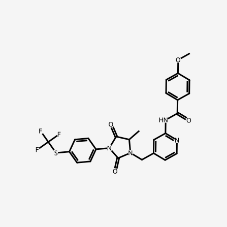 COc1ccc(C(=O)Nc2cc(CN3C(=O)N(c4ccc(SC(F)(F)F)cc4)C(=O)C3C)ccn2)cc1